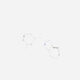 CN(c1ccc(Cl)c(Cl)c1)c1nc2ccccc2[nH]1